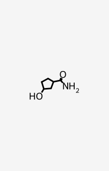 NC(=O)C1CCC(O)C1